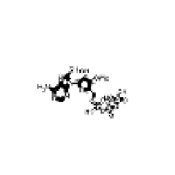 CO[C@H]1[C@@H](O)[C@H](n2c(S)nc3c(N)ncnc32)O[C@@H]1COP(=O)(O)OP(=O)(O)OP(=O)(O)O